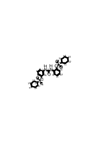 O=C(Nc1cccc(OS(=O)(=O)C2CCCCC2)c1)Nc1ccccc1OS(=O)(=O)C1CCCCC1